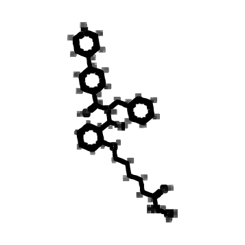 [2H]C(c1ccccc1OCCCCCC(=O)NO)N(Cc1ccccc1)C(=O)c1ccc(-c2ccncc2)cc1